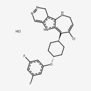 Cl.Fc1cc(F)cc(O[C@H]2CC[C@H](C3=c4[nH]c5c(c4NCC=C3Cl)CN=NC=5)CC2)c1